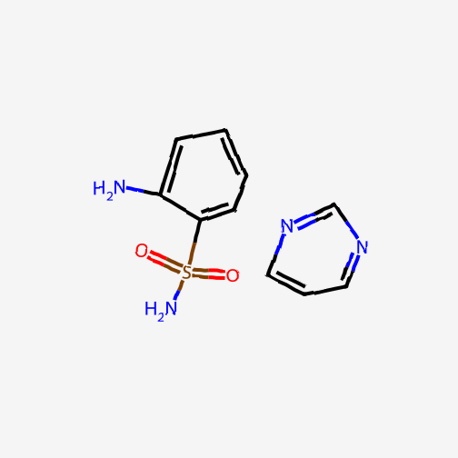 Nc1ccccc1S(N)(=O)=O.c1cncnc1